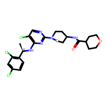 C[C@@H](Nc1nc(N2CCC(NC(=O)C3CCOCC3)CC2)ncc1Cl)c1ccc(Cl)cc1Cl